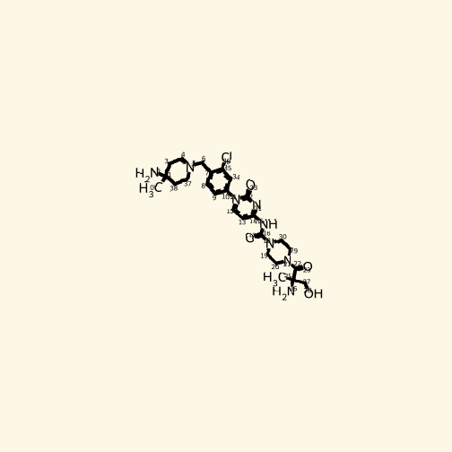 CC1(N)CCN(Cc2ccc(-n3ccc(NC(=O)N4CCN(C(=O)C(C)(N)CO)CC4)nc3=O)cc2Cl)CC1